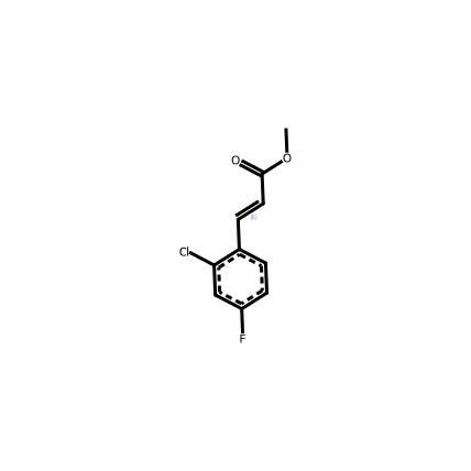 COC(=O)/C=C/c1ccc(F)cc1Cl